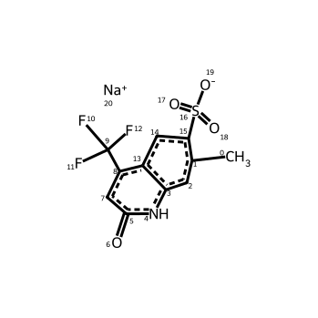 Cc1cc2[nH]c(=O)cc(C(F)(F)F)c2cc1S(=O)(=O)[O-].[Na+]